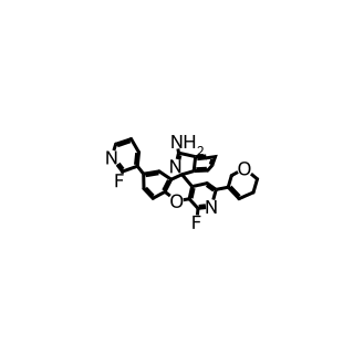 NC1=N[C@@]2(c3cc(-c4cccnc4F)ccc3Oc3c2cc(C2=CCCOC2)nc3F)c2ccccc21